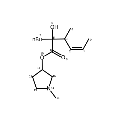 C/C=C\C(C)C(O)(CCCC)C(=O)OC1CCN(C)C1